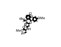 COC(=O)[C@H](CC(C)C)NC(=O)C[C@@H]1O[C@@H](c2ccc(OC)cc2OC)c2cc(Cl)ccc2N(CC(C)(C)C)C1=O